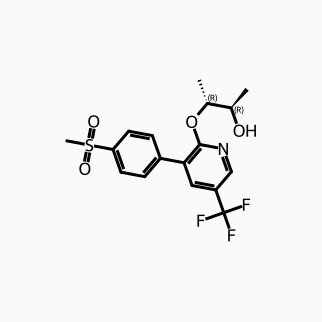 C[C@@H](O)[C@@H](C)Oc1ncc(C(F)(F)F)cc1-c1ccc(S(C)(=O)=O)cc1